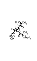 C=C(C)C(=O)OCC(C)(COC(=O)C(=C)C)C(=O)OCS(=O)(=O)O.[MgH2]